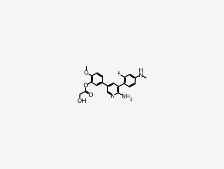 CNc1ccc(-c2cc(-c3ccc(OC)c(OC(=O)CO)c3)cnc2N)c(F)c1